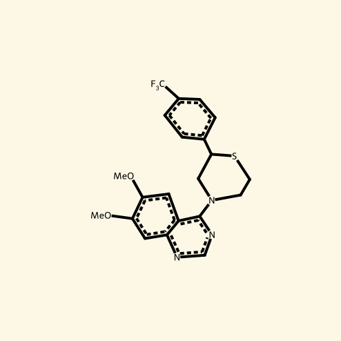 COc1cc2ncnc(N3CCSC(c4ccc(C(F)(F)F)cc4)C3)c2cc1OC